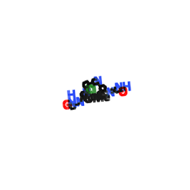 COc1cc(-c2nccc(-c3cccc(-c4ccc(CNCC5CCC(=O)N5)c(OC)n4)c3Cl)c2Cl)ccc1CN1CC2(CNC(=O)C2)C1